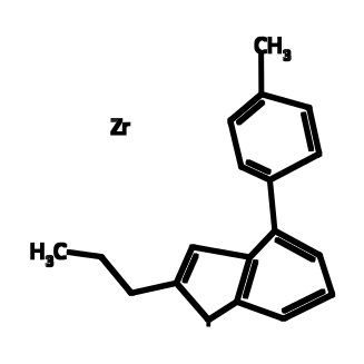 CCCC1=Cc2c(cccc2-c2ccc(C)cc2)[CH]1.[Zr]